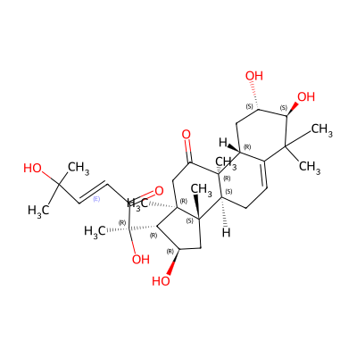 CC(C)(O)/C=C/C(=O)[C@](C)(O)[C@H]1[C@H](O)C[C@@]2(C)[C@@H]3CC=C4[C@@H](C[C@H](O)[C@@H](O)C4(C)C)[C@]3(C)C(=O)C[C@]12C